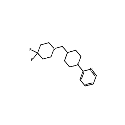 FC1(F)CCN(CC2CCN(c3ccccn3)CC2)CC1